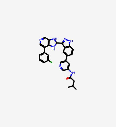 CC(C)CC(=O)Nc1cncc(-c2ccc3[nH]nc(C4Nc5cncc(-c6cccc(F)c6)c5N4)c3c2)c1